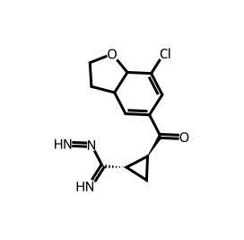 N=NC(=N)[C@H]1C[C@@H]1C(=O)C1=CC2CCOC2C(Cl)=C1